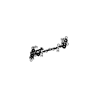 CCCOc1cc(OCCCCN(C)C)cc(Oc2cc3c(cc2NS(=O)(=O)c2cccc(C(=O)NCCCOCCOCCOCCCNC(=O)COc4cccc5c4C(=O)N(C4CCC(=O)NC4=O)C5=O)c2)n(C)c(=O)n3C)c1